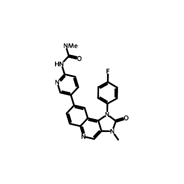 CNC(=O)Nc1ccc(-c2ccc3ncc4c(c3c2)n(-c2ccc(F)cc2)c(=O)n4C)cn1